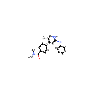 CCCCN(CC)C(=O)c1ccc(-c2cc(Nc3ccccc3)ncc2C)cc1